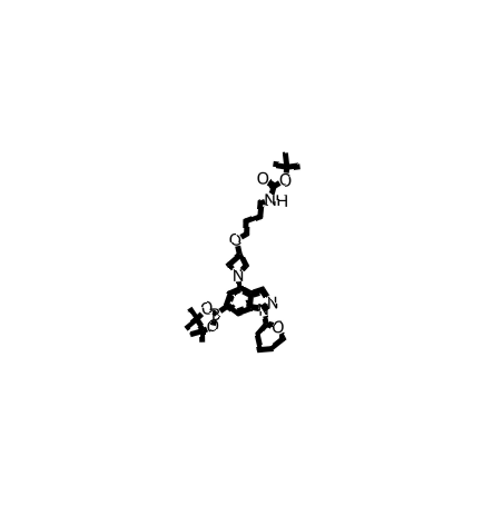 CC(C)(C)OC(=O)NCCCCOC1CN(c2cc(B3OC(C)(C)C(C)(C)O3)cc3c2cnn3C2CCCCO2)C1